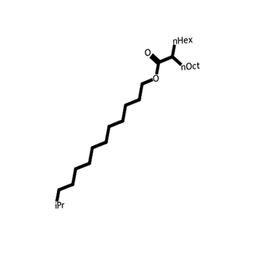 CCCCCCCCC(CCCCCC)C(=O)OCCCCCCCCCCCC(C)C